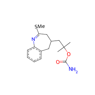 CSC1=Nc2ccccc2CC(CC(C)(C)OC(N)=O)C1